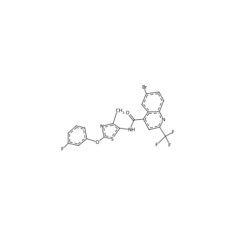 Cc1nc(Oc2cccc(F)c2)sc1NC(=O)c1cc(C(F)(F)F)nc2ccc(Br)cc12